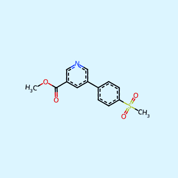 COC(=O)c1cncc(-c2ccc(S(C)(=O)=O)cc2)c1